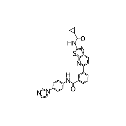 O=C(Nc1ccc(-n2ccnc2)cc1)c1cccc(-c2ccc3nc(NC(=O)C4CC4)sc3n2)c1